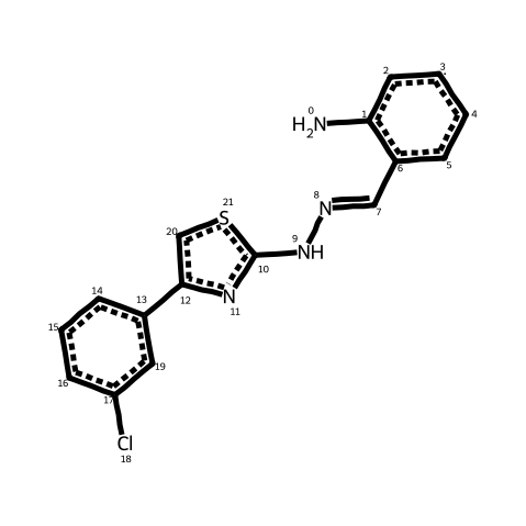 Nc1c[c]ccc1C=NNc1nc(-c2cccc(Cl)c2)cs1